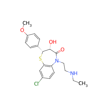 CCNCCN1C(=O)[C@@H](O)[C@@H](c2ccc(OC)cc2)Sc2cc(Cl)ccc21